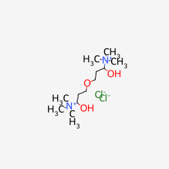 C[N+](C)(C)C(O)CCOCCC(O)[N+](C)(C)C.[Cl-].[Cl-]